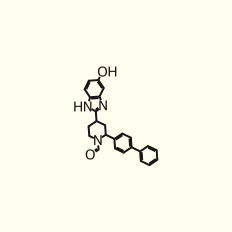 O=CN1CCC(c2nc3cc(O)ccc3[nH]2)CC1c1ccc(-c2ccccc2)cc1